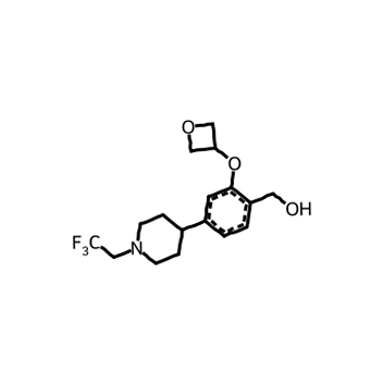 OCc1ccc(C2CCN(CC(F)(F)F)CC2)cc1OC1COC1